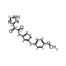 COc1ccc(Cc2cc(CC(=O)C(=O)c3nc[nH]n3)cs2)cc1